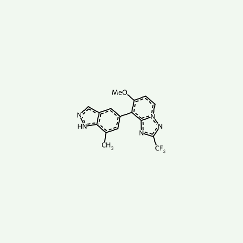 COc1ccn2nc(C(F)(F)F)nc2c1-c1cc(C)c2[nH]ncc2c1